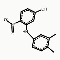 Cc1ccc(Nc2cc(O)ccc2[N+](=O)[O-])cc1C